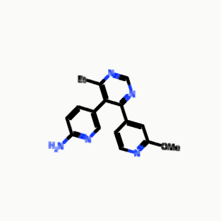 CCc1ncnc(-c2ccnc(OC)c2)c1-c1ccc(N)nc1